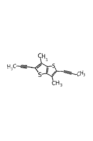 CC#Cc1sc2c(C)c(C#CC)sc2c1C